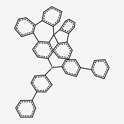 c1ccc(-c2ccc(N(c3ccc(-c4ccccc4)cc3)c3ccc4c(c3)C3(c5ccccc5-c5ccccc5-4)c4ccccc4-c4ccccc43)cc2)cc1